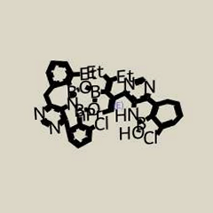 CCC/C=C(\C(B1OB2c3c(CC)cccc3Cc3ncnc4c3N2B(O1)c1c(Cl)cccc1-4)=C(CC)CC)c1ncnc2c1NB(O)C1=C2CC=CC=C1Cl